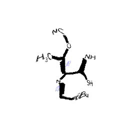 CCC(C)/C=N\C(C(=N)S)=C(/C)OC#N